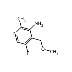 COCc1c(F)cnc(C)c1N